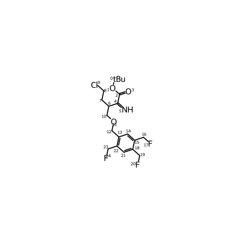 CC(C)(C)OC(=O)C(=N)C(CCCl)COCc1cc(CF)c(CF)cc1CF